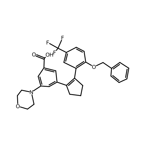 O=C(O)c1cc(C2=C(c3cc(C(F)(F)F)ccc3OCc3ccccc3)CCC2)cc(N2CCOCC2)c1